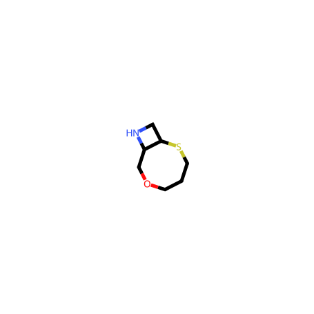 C1COCC2NCC2SC1